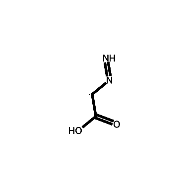 N=N[CH]C(=O)O